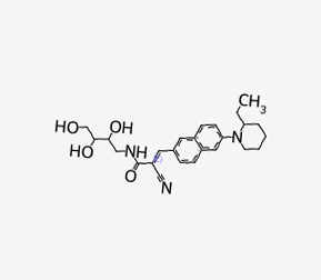 CCC1CCCCN1c1ccc2cc(/C=C(\C#N)C(=O)NCC(O)C(O)CO)ccc2c1